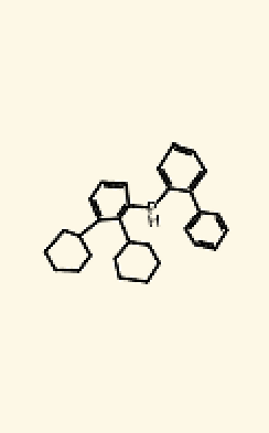 c1ccc(-c2ccccc2Pc2cccc(C3CCCCC3)c2C2CCCCC2)cc1